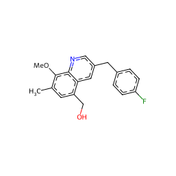 COc1c(C)cc(CO)c2cc(Cc3ccc(F)cc3)cnc12